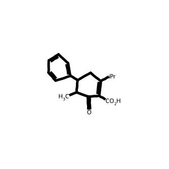 CC(C)C1=C(C(=O)O)C(=O)C(C)C(c2ccccc2)C1